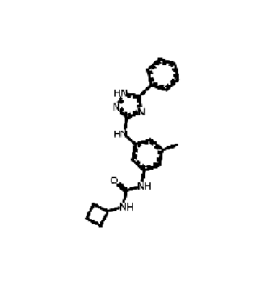 Cc1cc(NC(=O)NC2CCC2)cc(Nc2n[nH]c(-c3ccccc3)n2)c1